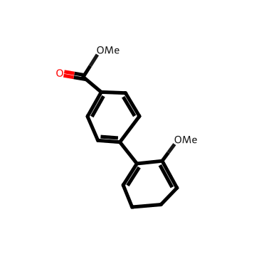 COC(=O)c1ccc(C2=CCCC=C2OC)cc1